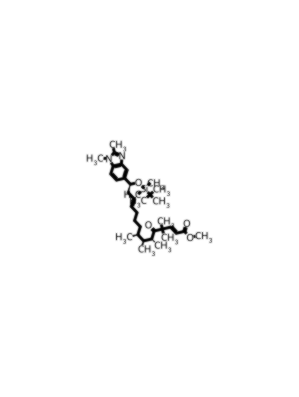 COC(=O)/C=C/C(C)(C)C(=O)[C@H](C)[C@@H](C)[C@@H](C)CCC/C=C/C[C@H](O[Si](C)(C)C(C)(C)C)c1ccc2c(c1)nc(C)n2C